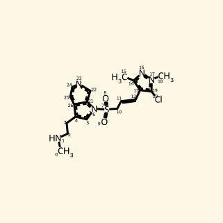 CNCCc1cn(S(=O)(=O)CC=Cc2c(C)nn(C)c2Cl)c2cnccc12